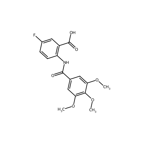 COc1cc(C(=O)Nc2ccc(F)cc2C(=O)O)cc(OC)c1OC